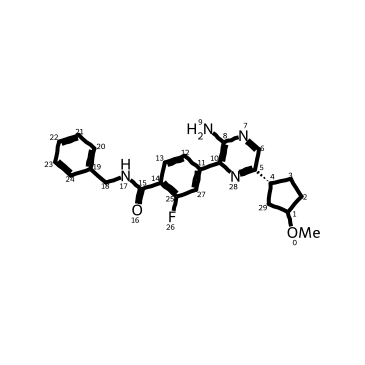 COC1CC[C@@H](c2cnc(N)c(-c3ccc(C(=O)NCc4ccccc4)c(F)c3)n2)C1